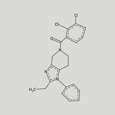 CCc1nc2c(n1-c1ccccc1)CCN(C(=O)c1cccc(Cl)c1Cl)C2